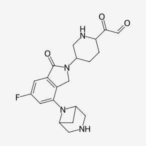 O=CC(=O)C1CCC(N2Cc3c(cc(F)cc3N3C4CNCC3C4)C2=O)CN1